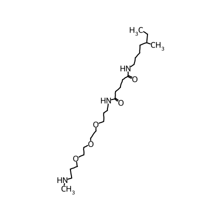 CCC(C)CCCCNC(=O)CCCC(=O)NCCCOCCOCCOCCCNC